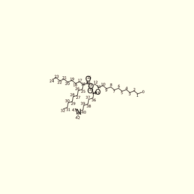 CCCCCCCCCCCC(COC(=O)C(CCCCCCCC)CCCCCCCC)OC(=O)CCCCCN(C)C